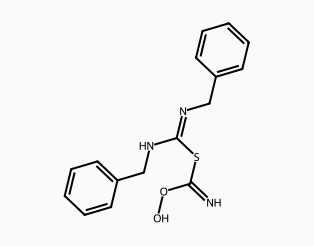 N=C(OO)SC(=NCc1ccccc1)NCc1ccccc1